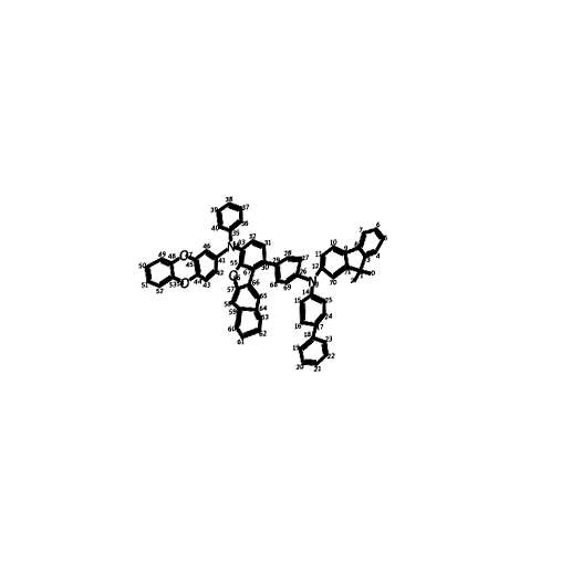 CC1(C)c2ccccc2-c2ccc(N(c3ccc(-c4ccccc4)cc3)c3ccc(-c4ccc(N(c5ccccc5)c5ccc6c(c5)Oc5ccccc5O6)c5oc6cc7ccccc7cc6c45)cc3)cc21